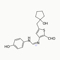 O=Cc1sc(CC2(O)CCCC2)cc1/N=C\Nc1ccc(O)cc1